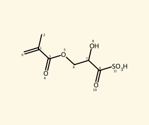 C=C(C)C(=O)OCC(O)C(=O)S(=O)(=O)O